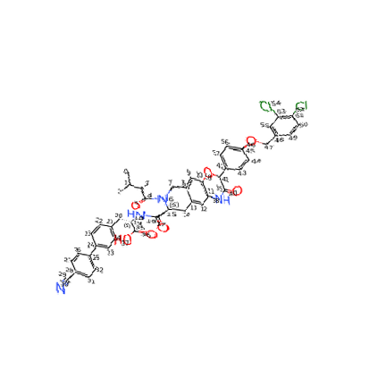 CC(C)CC(=O)N1Cc2cc3c(cc2C[C@H]1C(=O)N[C@@H](Cc1ccc(-c2ccc(C#N)cc2)cc1)C(=O)O)NC(=O)C(c1ccc(OCc2ccc(Cl)c(Cl)c2)cc1)O3